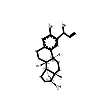 C=CC(O)c1cc2c(cc1O)CC[C@@H]1[C@@H]2CC[C@]2(C)[C@@H](O)CC[C@@H]12